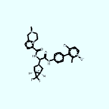 Cc1c(-c2ccc(NC(=O)C(NC(=O)c3ccc4n3CCN(C)C4)C3C[C@@H]4[C@H](C3)C4(F)F)cc2)c(Cl)cc[n+]1[O-]